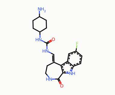 NC1CCC(NC(=O)NC=C2CCNC(=O)c3[nH]c4ccc(F)cc4c32)CC1